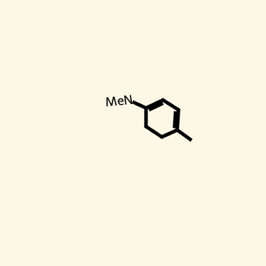 CNC1=CC=C(C)CC1